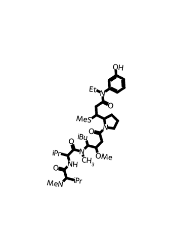 CCC(C)C(C(CC(=O)N1CCCC1C(CC(=O)N(CC)c1cccc(O)c1)SC)OC)N(C)C(=O)C(NC(=O)C(NC)C(C)C)C(C)C